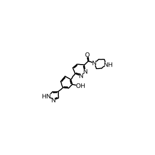 O=C(c1ccc(-c2ccc(-c3cn[nH]c3)cc2O)nn1)N1CCNCC1